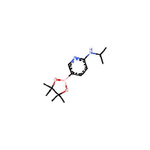 CC(C)Nc1ccc(B2OC(C)(C)C(C)(C)O2)cn1